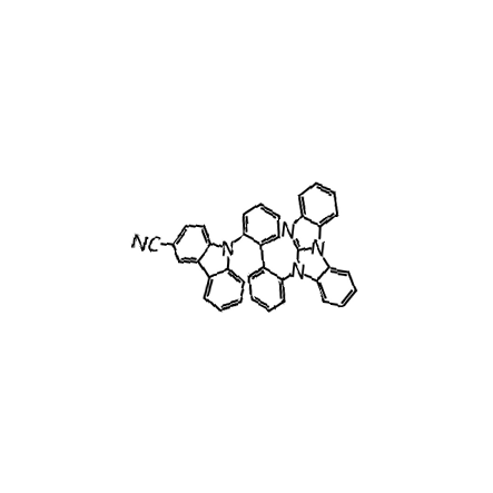 N#Cc1ccc2c(c1)c1ccccc1n2-c1ccccc1-c1ccccc1-n1c2ccccc2n2c3ccccc3nc12